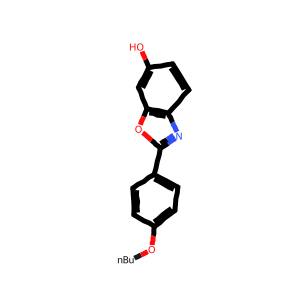 CCCCOc1ccc(-c2nc3ccc(O)cc3o2)cc1